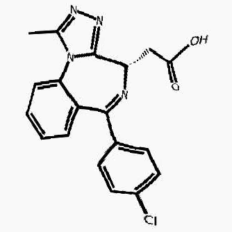 Cc1nnc2n1-c1ccccc1C(c1ccc(Cl)cc1)=N[C@H]2CC(=O)O